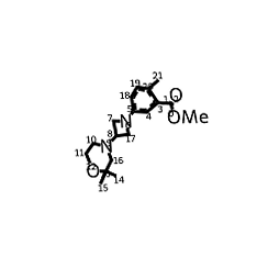 COC(=O)c1cc(N2CC(N3CCOC(C)(C)C3)C2)ccc1C